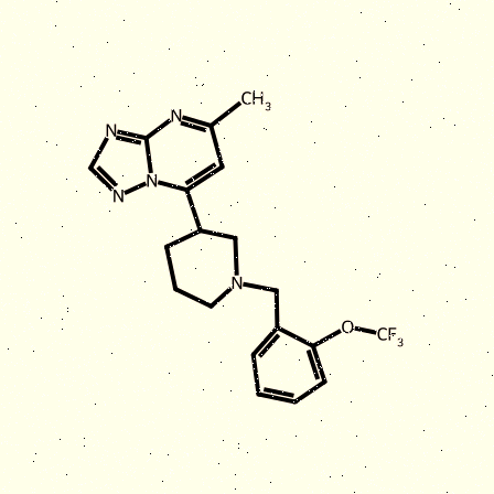 Cc1cc(C2CCCN(Cc3ccccc3OC(F)(F)F)C2)n2ncnc2n1